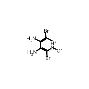 NC1=C(Br)C[NH+]([O-])C(Br)=C1N